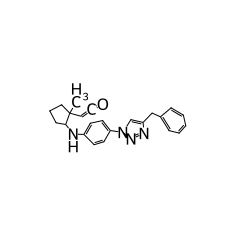 CC1(C=C=O)CCCC1Nc1ccc(-n2cc(Cc3ccccc3)nn2)cc1